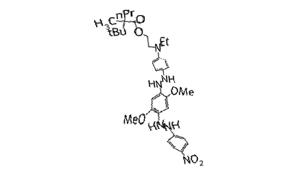 CCCC(C)(C(=O)OCCN(CC)c1ccc(NNc2cc(OC)c(NNc3ccc([N+](=O)[O-])cc3)cc2OC)cc1)C(C)(C)C